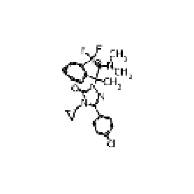 [CH2]C(C(=O)N(C)C)(c1ccccc1C(F)(F)F)n1nc(-c2ccc(Cl)cc2)n(C2CC2)c1=O